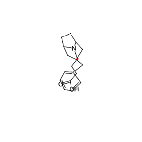 O=C(O)CCCN1C2CCC1CC(Cc1ccccc1)C2